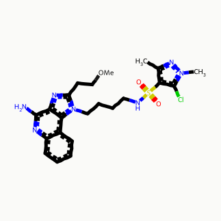 COCCc1nc2c(N)nc3ccccc3c2n1CCCCNS(=O)(=O)c1c(C)nn(C)c1Cl